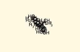 CC(C)=CCC[C@](C)(O[C@@H]1OC[C@@H](O)C(O)C1O)C1CC[C@]2(C)C1C(=O)CC1[C@@]3(C)CC[C@H](O)C(C)(C)C3CC[C@]12C